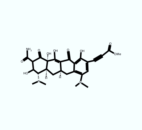 COC(=O)C#Cc1cc(N(C)C)c2c(c1O)C(=O)C1=C(O)[C@]3(O)C(=O)C(C(N)=O)C(O)[C@@H](N(C)C)[C@@H]3C[C@@H]1C2